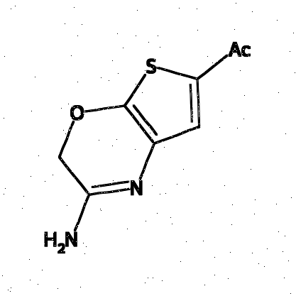 CC(=O)c1cc2c(s1)OCC(N)=N2